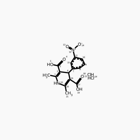 CC1=C(C(=O)O)C(c2cccc([N+](=O)[O-])c2)C(C(=O)O)=C(C)N1.Cl.Cl